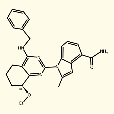 CCO[C@H]1CCCc2c(NCc3ccccc3)nc(-n3c(C)cc4c(C(N)=O)cccc43)nc21